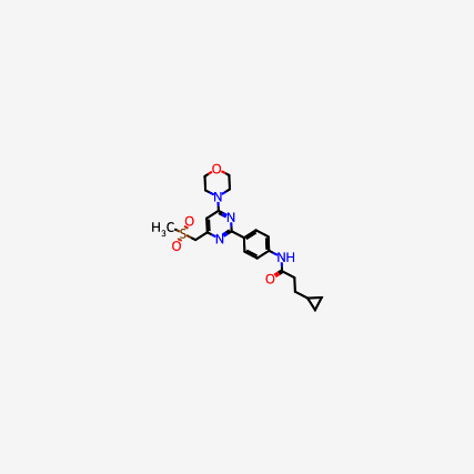 CS(=O)(=O)Cc1cc(N2CCOCC2)nc(-c2ccc(NC(=O)CCC3CC3)cc2)n1